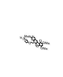 CNc1ncc2cc(-c3c(Cl)c(OC)cc(OC)c3Cl)c(=O)n(CCOC3CCN(C)C3)c2n1